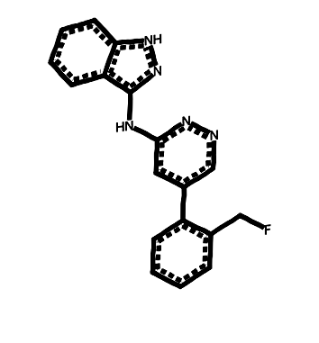 FCc1ccccc1-c1cnnc(Nc2n[nH]c3ccccc23)c1